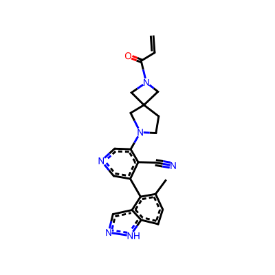 C=CC(=O)N1CC2(CCN(c3cncc(-c4c(C)ccc5[nH]ncc45)c3C#N)C2)C1